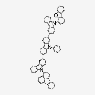 c1ccc(-n2c3cc(-c4ccc5c(c4)c4ccccc4n5-c4ccc5c6c(cccc46)-c4ccccc4-5)ccc3c3ccc(-c4ccc5c(c4)c4ccccc4n5-c4cccc5c4oc4ccccc45)cc32)cc1